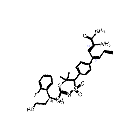 C=C/C=C(\C=C(/N)C(N)=O)c1ccc(C2C(C)(C)OC(N[C@@H](CCO)c3ccccc3F)=NS2(=O)=O)cc1